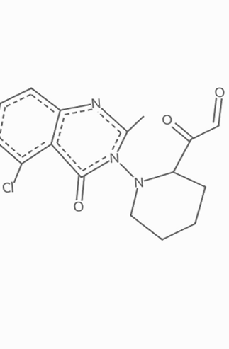 Cc1nc2cccc(Cl)c2c(=O)n1N1CCCCC1C(=O)C=O